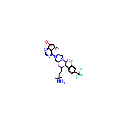 C[C@@H]1C[C@H](O)c2ncnc(N3CCN(C(=O)[C@@H](c4ccc(C(F)(F)F)cc4F)C(I)CCC(C)(C)N)CC3)c21